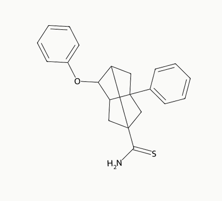 NC(=S)C12CC3C(Oc4ccccc4)C1CC3(c1ccccc1)C2